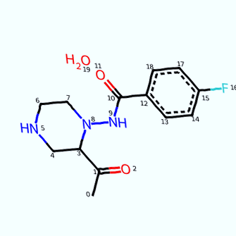 CC(=O)C1CNCCN1NC(=O)c1ccc(F)cc1.O